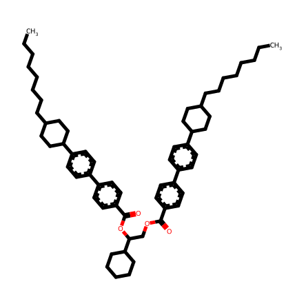 CCCCCCCCC1CCC(c2ccc(-c3ccc(C(=O)OCC(OC(=O)c4ccc(-c5ccc(C6CCC(CCCCCCCC)CC6)cc5)cc4)C4CCCCC4)cc3)cc2)CC1